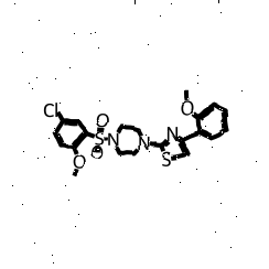 COc1ccccc1-c1csc(N2CCN(S(=O)(=O)c3cc(Cl)ccc3OC)CC2)n1